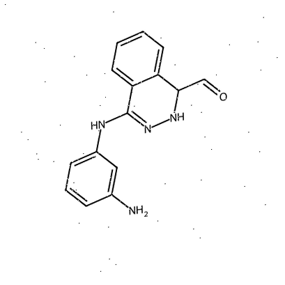 Nc1cccc(NC2=NNC(C=O)c3ccccc32)c1